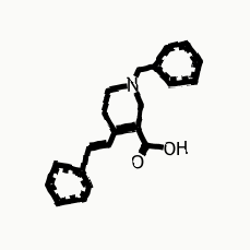 O=C(O)C1=C(C=Cc2ccccc2)CCN(Cc2ccccc2)C1